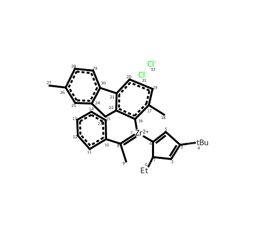 CCC1C=C(C(C)(C)C)C=[C]1/[Zr+2](=[C](\C)c1ccccc1)[c]1c(C)ccc2c1Cc1cc(C)ccc1-2.[Cl-].[Cl-]